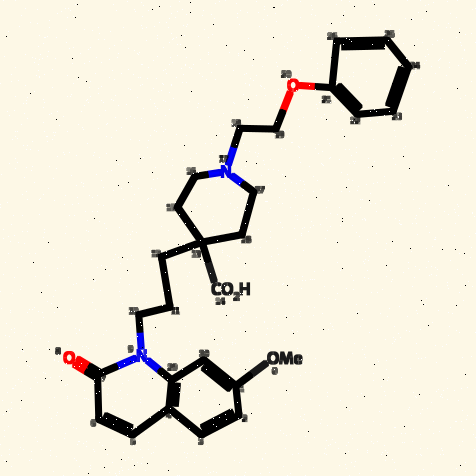 COc1ccc2ccc(=O)n(CCCC3(C(=O)O)CCN(CCOc4ccccc4)CC3)c2c1